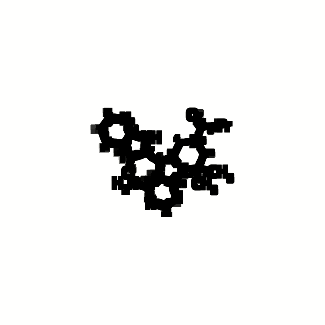 CC(C)C(=O)N1Cc2c(-c3[nH]c4ncccc4c3Cl)c3c(N)ncnc3n2C(C)(C)C1